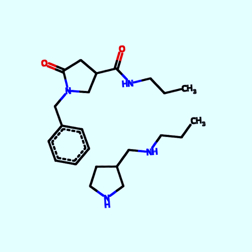 CCCNC(=O)C1CC(=O)N(Cc2ccccc2)C1.CCCNCC1CCNC1